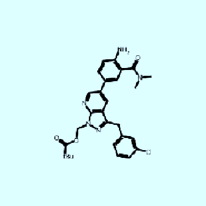 CN(C)C(=O)c1cc(-c2cnc3c(c2)c(Cc2cccc(Cl)c2)nn3COC(=O)C(C)(C)C)ccc1N